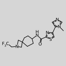 Cn1cncc1-c1csc(C(=O)NC2CCC3(CC2)CN(CC(F)(F)F)C3)n1